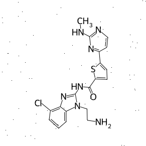 CNc1nccc(-c2ccc(C(=O)Nc3nc4c(Cl)cccc4n3CCN)s2)n1